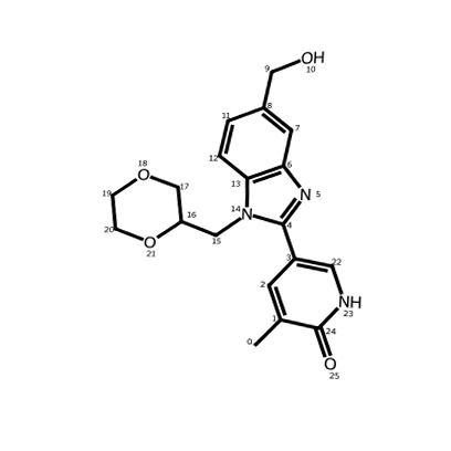 Cc1cc(-c2nc3cc(CO)ccc3n2CC2COCCO2)c[nH]c1=O